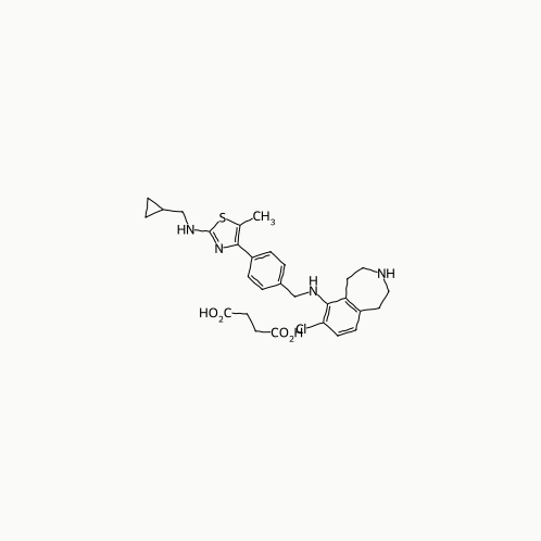 Cc1sc(NCC2CC2)nc1-c1ccc(CNc2c(Cl)ccc3c2CCNCC3)cc1.O=C(O)CCC(=O)O